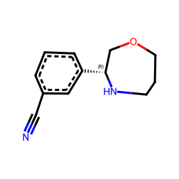 N#Cc1cccc([C@@H]2COCCCN2)c1